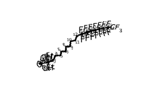 CCC(CC)(CCCCCCCCCCC(F)(F)C(F)(F)C(F)(F)C(F)(F)C(F)(F)C(F)(F)C(F)(F)C(F)(F)F)P(=O)(O)O